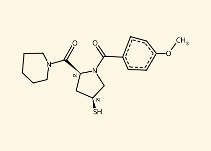 COc1ccc(C(=O)N2C[C@@H](S)C[C@H]2C(=O)N2CCCCC2)cc1